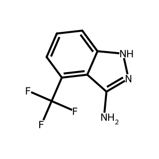 Nc1n[nH]c2cccc(C(F)(F)F)c12